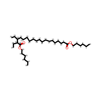 CCCCCCOC(=O)CCCCCCCCCCCCCCCC(CC)C(CC)C(=O)OCCCCCC